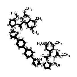 COC(=O)N[C@H](C(=O)N1[C@H](CO)CC[C@@H]1c1ncc(-c2ccc(-c3ccc(-c4cnc([C@H]5CC[C@@H](CO)N5C(=O)[C@@H](NC(=O)OC)C5C[C@@H](C)O[C@H](C)C5)[nH]4)cc3)cc2)[nH]1)C1C[C@@H](C)O[C@H](C)C1